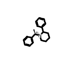 C[C@H](c1ccccc1)N1CCCCC1c1ccccc1